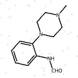 CN1CCN(c2ccccc2NC=O)CC1